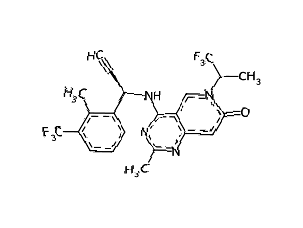 C#C[C@@H](Nc1nc(C)nc2cc(=O)n(C(C)C(F)(F)F)cc12)c1cccc(C(F)(F)F)c1C